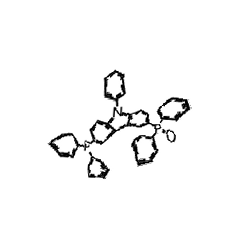 O=P(c1ccccc1)(c1ccccc1)c1ccc2c(c1)c1cc(P(c3ccccc3)c3ccccc3)ccc1n2-c1ccccc1